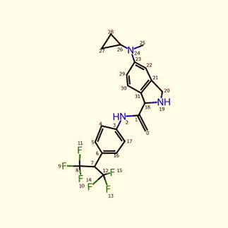 C=C(Nc1ccc(C(C(F)(F)F)C(F)(F)F)cc1)C1NCc2cc(N(C)C3CC3)ccc21